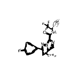 Cc1cc(-c2ccc(F)cc2)nn2c(C(=O)NC(C)C(F)(F)F)ncc12